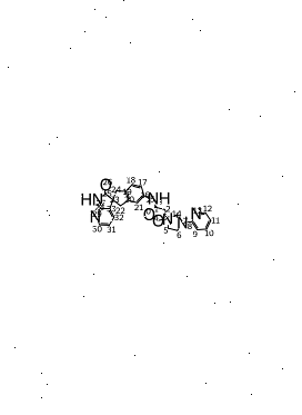 O=C(C[N+]1([O-])CCN(c2ccccn2)C1)Nc1ccc2c(c1)CC1(C2)C(=O)Nc2ncccc21